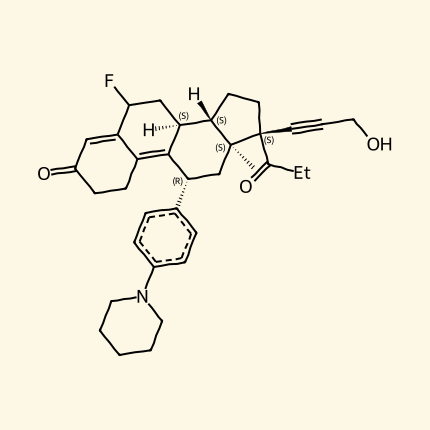 CCC(=O)[C@@]1(C#CCO)CC[C@H]2[C@@H]3CC(F)C4=CC(=O)CCC4=C3[C@@H](c3ccc(N4CCCCC4)cc3)C[C@@]21C